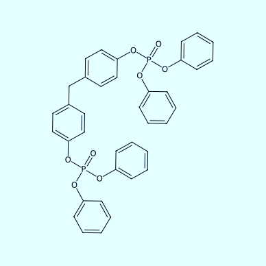 O=P(Oc1ccccc1)(Oc1ccccc1)Oc1ccc(Cc2ccc(OP(=O)(Oc3ccccc3)Oc3ccccc3)cc2)cc1